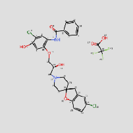 O=C(Nc1cc(Cl)c(O)cc1OC[C@@H](O)CN1CCC2(CC1)Cc1cc(Cl)ccc1O2)c1ccccc1.O=C(O)C(F)(F)F